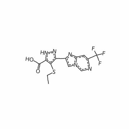 CCSc1c(-c2cn3cnc(C(F)(F)F)cc3n2)n[nH]c1C(=O)O